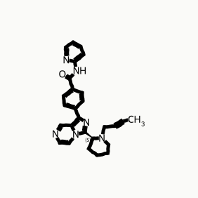 CC#CCN1CCCC[C@H]1c1nc(-c2ccc(C(=O)Nc3ccccn3)cc2)c2cnccn12